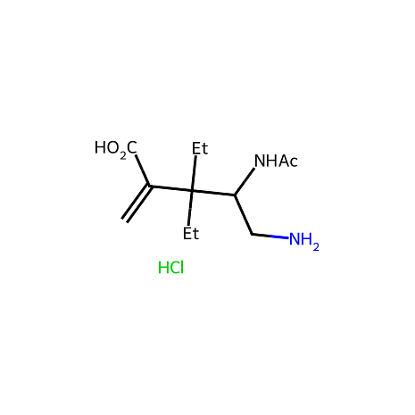 C=C(C(=O)O)C(CC)(CC)C(CN)NC(C)=O.Cl